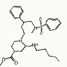 CCCCCNC1CC(C(=O)OC)CCN1CCC(CN(C)S(=O)(=O)c1ccccc1)c1ccccc1